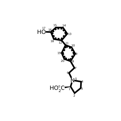 O=C(O)[C@@H]1CCCN1CCc1ccc(-c2cccc(O)c2)cc1